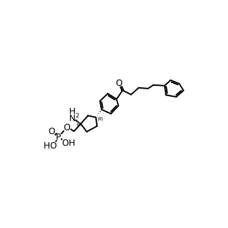 N[C@]1(COP(=O)(O)O)CC[C@@H](c2ccc(C(=O)CCCCc3ccccc3)cc2)C1